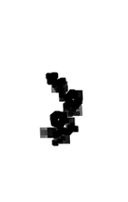 CNC(=N)c1cc(C)nc2c(OCc3c(Cl)cncc3Sc3nc(C(C)(C)C)cs3)cccc12